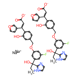 CCC(O)(c1cc(F)cc(OCc2ccc(C(=CC(=O)[O-])c3ccoc3)c(O)c2)c1)c1ncc[nH]1.CCC(O)(c1cc(F)cc(OCc2ccc(C(=CC(=O)[O-])c3ccoc3)c(O)c2)c1)c1ncc[nH]1.[Na+].[Na+]